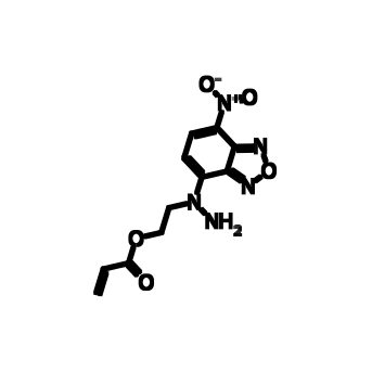 C=CC(=O)OCCN(N)c1ccc([N+](=O)[O-])c2nonc12